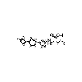 CCCC(CNc1nc(-c2ccc(-c3cnco3)cc2)cs1)C(=O)O